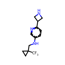 FC(F)(F)C1(CNc2ccc(C3CNC3)nc2)CC1